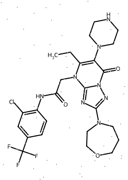 CCc1c(N2CCNCC2)c(=O)n2nc(N3CCCOCC3)nc2n1CC(=O)Nc1ccc(C(F)(F)F)cc1Cl